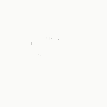 N#Cc1c(Br)nc2ccccc2c1C1CNCCO1